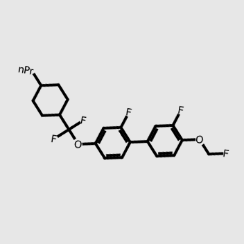 CCCC1CCC(C(F)(F)Oc2ccc(-c3ccc(OCF)c(F)c3)c(F)c2)CC1